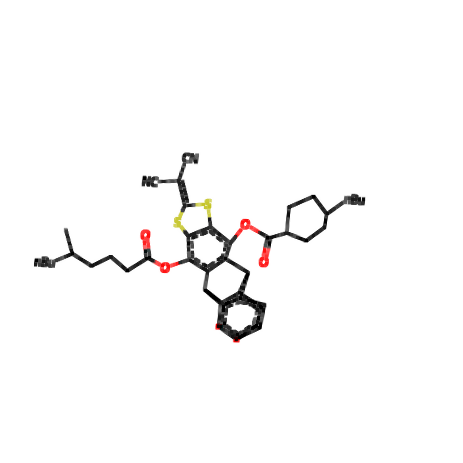 CCCCC(C)CCCC(=O)Oc1c2c(c(OC(=O)C3CCC(CCCC)CC3)c3c1C1c4ccccc4C3c3ccccc31)SC(=C(C#N)C#N)S2